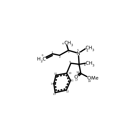 C=CCC(C)N(C)C(C)(Cc1ccccc1)C(=O)OC